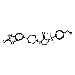 [2H]C([2H])(c1ccc(CF)cc1)N1CC[C@@H](N2CCC(c3ccc4[nH]c(=O)oc4c3)CC2)C1=O